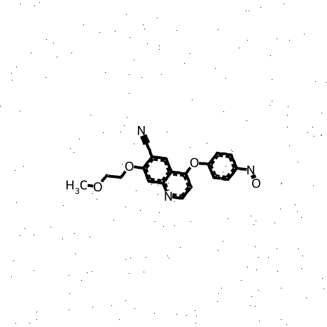 COCCOc1cc2nccc(Oc3ccc(N=O)cc3)c2cc1C#N